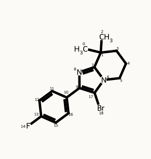 CC1(C)CCCn2c1nc(-c1ccc(F)cc1)c2Br